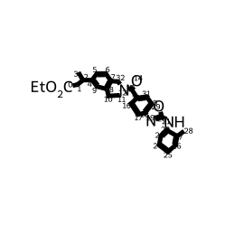 CCOC(=O)CC(C)c1ccc2c(c1)CCN(C(=O)c1ccc3nc(Nc4ccccc4C)oc3c1)C2